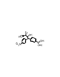 C#CC(CC)C(O)C(c1ccc(N(O)O)cc1)c1ccc([N+](=O)[O-])cc1